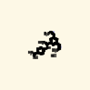 C/C=C\c1cc(/C=C\C)cc(C(Nc2ccc(C(=N)N)cc2)C(=O)O)c1.Cl